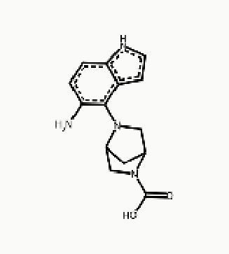 Nc1ccc2[nH]ccc2c1N1CC2CC1CN2C(=O)O